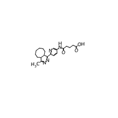 CC1=NN=C(c2ccc(NC(=O)CCCC(=O)O)cn2)C2CCCCCCC12